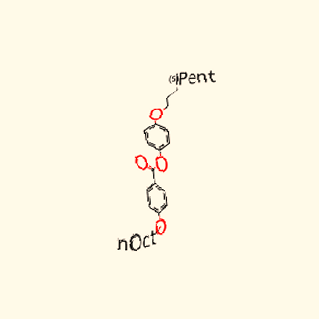 CCCCCCCCOc1ccc(C(=O)Oc2ccc(OCCC[C@@H](C)CCC)cc2)cc1